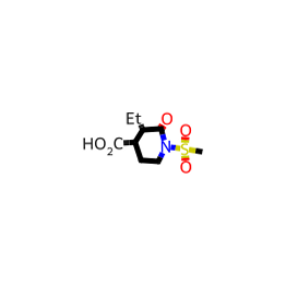 CCC1C(=O)N(S(C)(=O)=O)CCC1C(=O)O